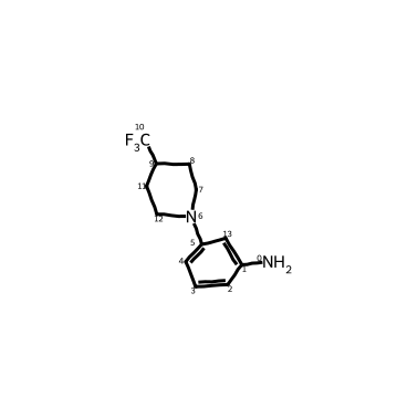 Nc1cccc(N2CCC(C(F)(F)F)CC2)c1